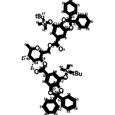 CC1OC(COC(=O)c2cc3c(c(O[Si](C)(C)C(C)(C)C)c2)OC(c2ccccc2)(c2ccccc2)O3)C(OC(=O)c2cc3c(c(O[Si](C)(C)C(C)(C)C)c2)OC(c2ccccc2)(c2ccccc2)O3)[C@H](C)[C@@H]1C